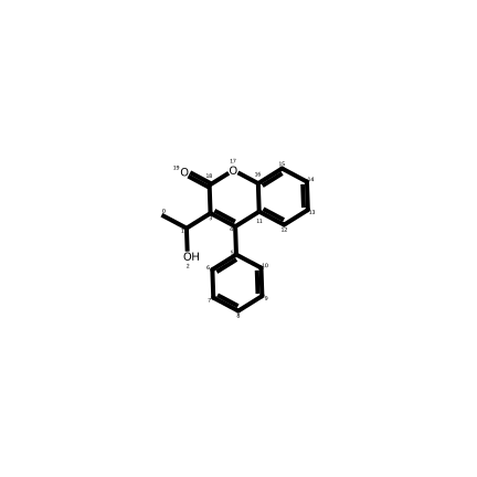 CC(O)c1c(-c2ccccc2)c2ccccc2oc1=O